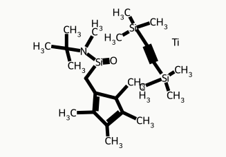 CC1=C(C)C(C)C(C[Si](=O)N(C)C(C)(C)C)=C1C.C[Si](C)(C)C#C[Si](C)(C)C.[Ti]